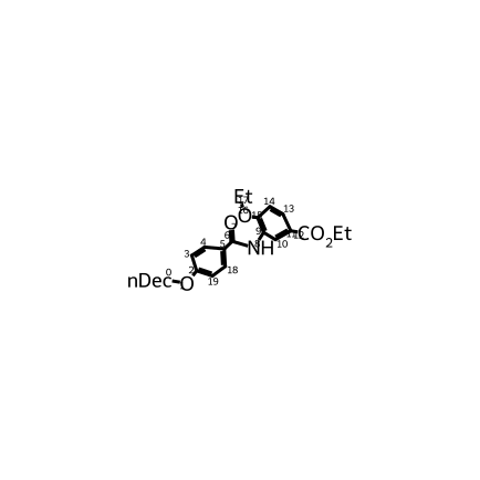 CCCCCCCCCCOc1ccc(C(=O)Nc2cc(C(=O)OCC)ccc2OCC)cc1